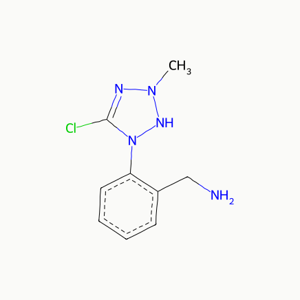 CN1N=C(Cl)N(c2ccccc2CN)N1